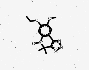 CCOc1cc2c(cc1OC)-c1nn[se]c1C(C)(C)[S+]2[O-]